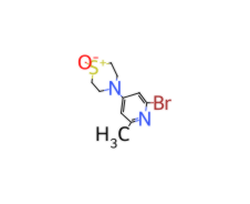 Cc1cc(N2CC[S+]([O-])CC2)cc(Br)n1